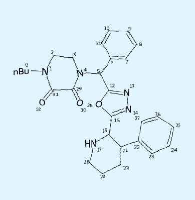 CCCCN1CCN(C(c2ccccc2)c2nnc(C3NCCCC3c3ccccc3)o2)C(=O)C1=O